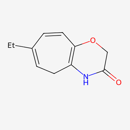 CCC1=CCC2=C(C=C1)OCC(=O)N2